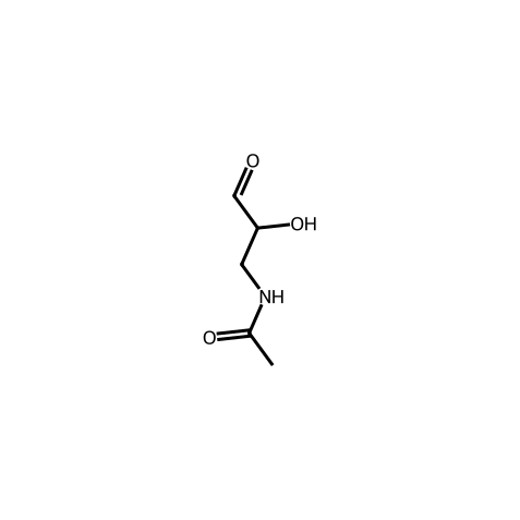 CC(=O)NCC(O)C=O